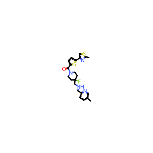 Cc1ccc(CNCC2(F)CCN(C(=O)c3ccc(-c4csc(C)n4)s3)CC2)nc1